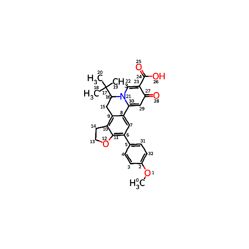 COc1ccc(-c2cc3c(c4c2OCC4)CC(C(C)(C)C)n2cc(C(=O)O)c(=O)cc2-3)cc1